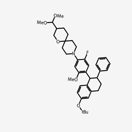 COc1cc(N2CCC3(CCC(C(OC)OC)CO3)CC2)c(F)cc1C1c2ccc(OC(C)(C)C)cc2CCC1c1ccccc1